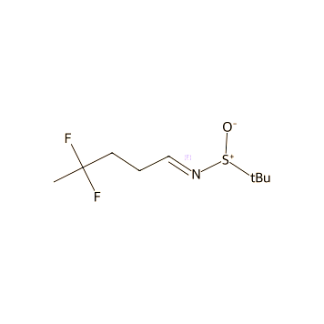 CC(F)(F)CC/C=N/[S+]([O-])C(C)(C)C